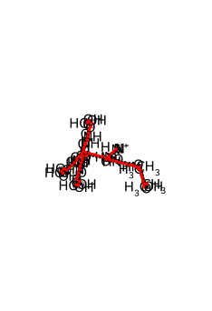 CC(C)(CCCCCCCCCCC(C)(C)C(=O)NCCCCCCCCCCC(=O)NCCCC[C@H](NC(=O)CCCCN=[N+]=[N-])C(=O)NCCCCCCCCCCC(=O)NC(COCCC(=O)NCCCNC(=O)CCCCO[C@H]1C[C@@H](O)[C@@H](O)[C@@H](CO)O1)(COCCC(=O)NCCCNC(=O)CCCCO[C@H]1C[C@@H](O)[C@@H](O)[C@@H](CO)O1)COCCC(=O)NCNC(=O)CCCCO[C@H]1C[C@@H](O)[C@@H](O)[C@@H](CO)O1)C(=O)O